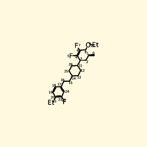 C=CC[C@H](/C(F)=C(/F)COCC)C1CCC(CCc2ccc(CC)c(F)c2)CC1